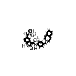 C/C(Nc1ccc(CN2CCc3ccccc3CC2)cc1)=C1/C(=O)Nc2ccc(C(=O)N(C)C)cc21